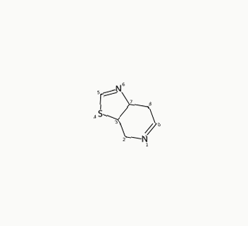 C1=NCC2SC=NC2C1